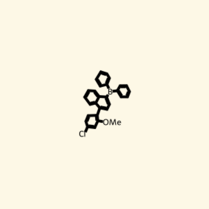 COc1cc(Cl)ccc1-c1ccc(B(c2ccccc2)c2ccccc2)c2ccccc12